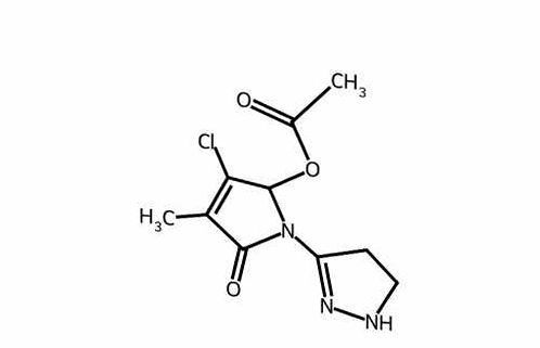 CC(=O)OC1C(Cl)=C(C)C(=O)N1C1=NNCC1